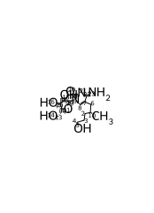 CC(CCCO)Cc1cn([C@@H]2O[C@H](CO)[C@@H](O)[C@H]2O)c(=O)nc1N